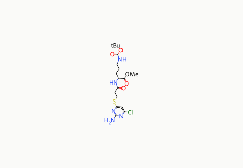 COC(=O)[C@H](CCCNC(=O)OC(C)(C)C)NC(=O)CCSc1cc(Cl)nc(N)n1